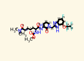 COC(=O)NC(CC/C=C/C(=O)N(C)C)C(=O)Nc1cccn(Cc2nc3cc(F)cc(OC(F)(F)C(F)F)c3[nH]2)c1=O